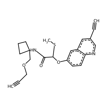 C#CCOCC1(NC(=O)C(Oc2ccc3ncc(C#C)cc3c2)SC)CCC1